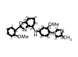 COc1ccccc1-c1nc2c(Nc3ccc(-n4cnc(C)c4)c(OC)c3)cccc2o1